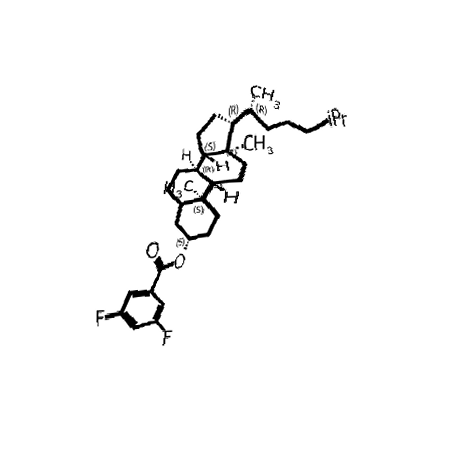 CC(C)CCC[C@@H](C)[C@H]1CC[C@H]2[C@@H]3CCC4C[C@@H](OC(=O)c5cc(F)cc(F)c5)CC[C@]4(C)[C@H]3CC[C@]12C